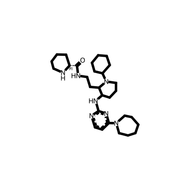 O=C(NCCC1C(Nc2nccc(N3CCCCCC3)n2)CCCN1C1CCCCC1)[C@H]1CCCCN1